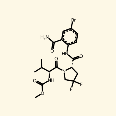 COC(=O)N[C@H](C(=O)N1CC(F)(F)C[C@H]1C(=O)Nc1ccc(Br)cc1C(N)=O)C(C)C